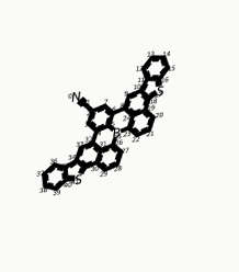 N#Cc1cc2c3c(c1)-c1cc4c5ccccc5sc4c4cccc(c14)B3c1cccc3c1c-2cc1c2ccccc2sc31